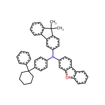 CC1(C)c2ccccc2-c2cc(N(c3ccc(C4(c5ccccc5)CCCCC4)cc3)c3ccc4c(c3)oc3ccccc34)ccc21